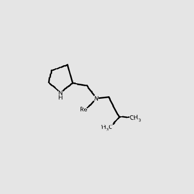 CC(C)C[N]([Re])CC1CCCN1